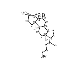 CC(C)CCCC(C)C1CCC2C3CC(=O)[C@@]4(O)C[C@@H](O)CC[C@]4(C)C3CC[C@]12C